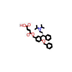 CC(C)N(CC[C@H](c1ccccc1)c1cc(COC(=O)/C=C/C(=O)O)ccc1OCc1ccccc1)C(C)C